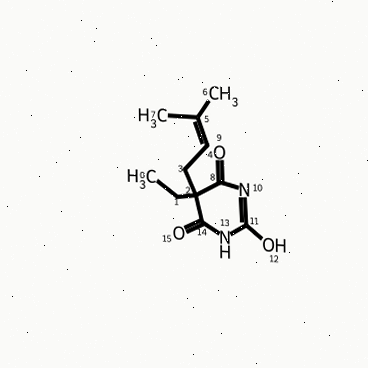 CCC1(CC=C(C)C)C(=O)N=C(O)NC1=O